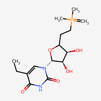 C=P(C)(C)CCC1O[C@@H](n2cc(CC)c(=O)[nH]c2=O)[C@H](O)[C@@H]1O